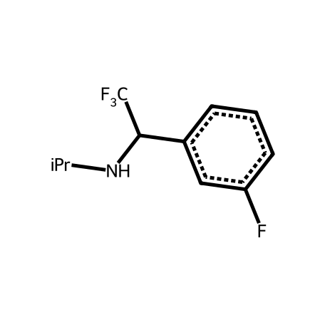 CC(C)NC(c1cccc(F)c1)C(F)(F)F